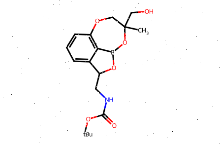 CC(C)(C)OC(=O)NCC1OB2OC(C)(CO)COc3cccc1c32